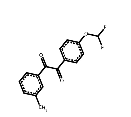 Cc1cccc(C(=O)C(=O)c2ccc(OC(F)F)cc2)c1